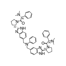 CN(C)[C@@H](C(=O)N1CCC[C@H]1c1nc2cc(CN(Cc3ccc4[nH]c([C@@H]5CCCN5C(=O)[C@@H](c5ccccc5)N(C)C)nc4c3)c3ccccc3)ccc2[nH]1)c1ccccc1